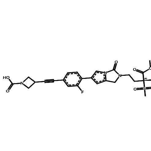 COC(=O)[C@@](C)(CCN1Cc2cc(-c3ccc(C#CC4CN(C(=O)O)C4)cc3F)cn2C1=O)S(C)(=O)=O